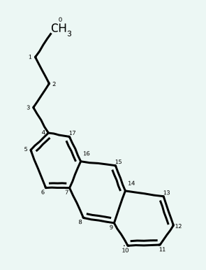 CCCCc1ccc2cc3[c]cccc3cc2c1